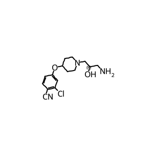 N#Cc1ccc(OC2CCN(C[C@H](O)CN)CC2)cc1Cl